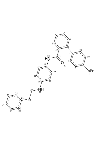 CCCc1ccc(-c2ccccc2C(=O)Nc2ccc(NCCc3ccccn3)cc2)cc1